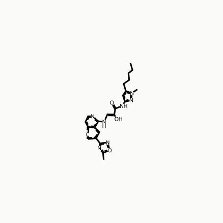 CCCCCc1cc(NC(=O)C(O)=CNc2nccc3ccc(-c4noc(C)n4)cc23)nn1C